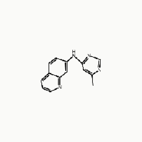 Cc1cc(Nc2ccc3cccnc3c2)ncn1